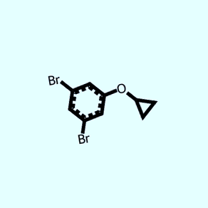 Brc1cc(Br)cc(OC2CC2)c1